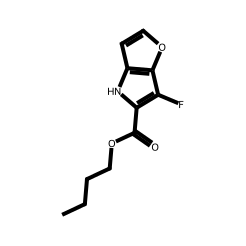 CCCCOC(=O)c1[nH]c2ccoc2c1F